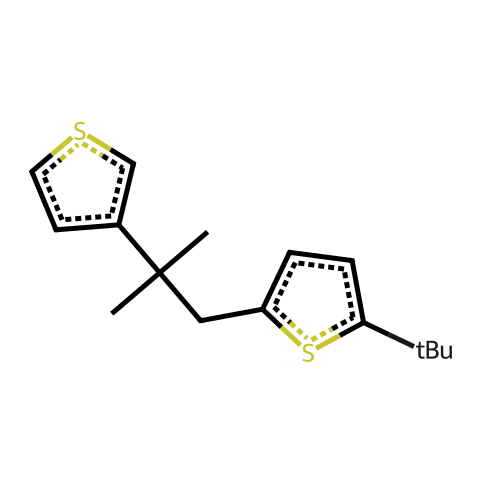 CC(C)(C)c1ccc(CC(C)(C)c2ccsc2)s1